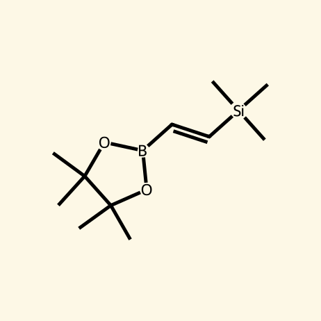 CC1(C)OB(/C=C/[Si](C)(C)C)OC1(C)C